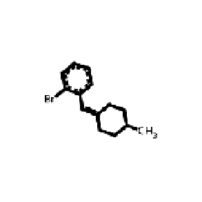 CC1CCC(=Cc2ccccc2Br)CC1